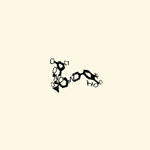 O=C(O)c1cc(C2CCN([C@@H]3CC[C@@](C(=O)N4COc5c(Cl)cc(Cl)cc5C4)(C4CC4)OC3)CC2)ccc1F